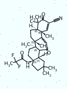 CC1(C)CC[C@]2(NC(=O)C(C)(F)F)CC[C@]3(C)C(C(=O)C=C4[C@@]5(C)C=C(C#N)C(=O)C(C)(C)[C@@H]5CC[C@]43C)[C@@H]2C1